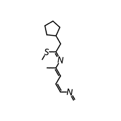 C=N\C=C/C=C(C)/N=C(/CC1CCCC1)SC